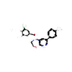 COc1c(Br)cc(C(=O)N2CCOc3ncc(-c4ccc(C#N)cc4)cc32)cc1Br